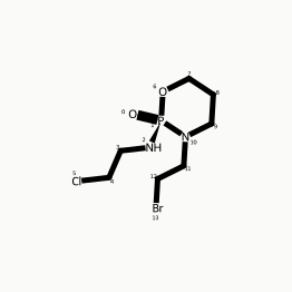 O=[P@]1(NCCCl)OCCCN1CCBr